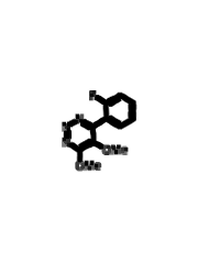 COc1nnnc(-c2ccccc2F)c1OC